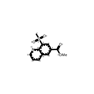 COC(=O)c1cc(S(C)(=O)=O)c2ncccc2c1